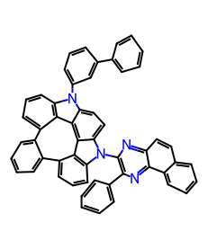 c1ccc(-c2cccc(-n3c4cccc5c6ccccc6c6cccc7c6c6c(c54)c3ccc6n7-c3nc4ccc5ccccc5c4nc3-c3ccccc3)c2)cc1